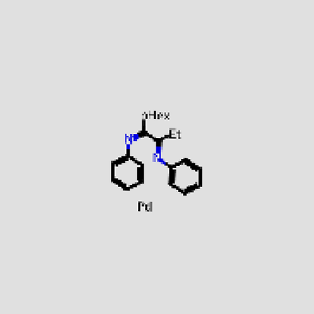 CCCCCCC(=Nc1ccccc1)C(CC)=Nc1ccccc1.[Pd]